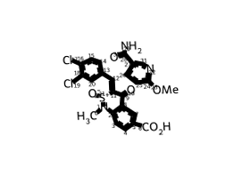 CN1c2ccc(C(=O)O)cc2C(=O)/C(=C/c2ccc(Cl)c(Cl)c2)[S+]1[O-].COc1ccc(C(N)=O)cn1